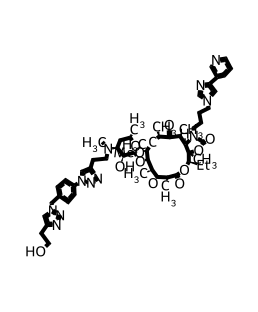 CC[C@H]1OC(=O)[C@H](C)C(=O)[C@H](C)[C@@H](O[C@@H]2O[C@H](C)C[C@H](N(C)CCc3cn(-c4ccc(Cn5cc(CCO)nn5)cc4)nn3)[C@H]2O)[C@](C)(OC)C[C@@H](C)C(=O)[C@H](C)[C@H]2N(CCCCn3cnc(-c4cccnc4)c3)C(=O)O[C@]12C